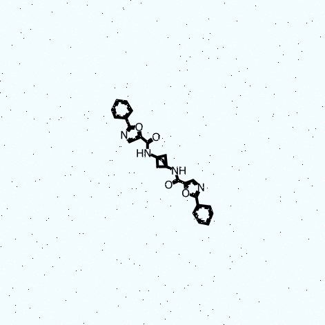 O=C(NC12CC(NC(=O)c3cnc(-c4ccccc4)o3)(C1)C2)c1cnc(-c2ccccc2)o1